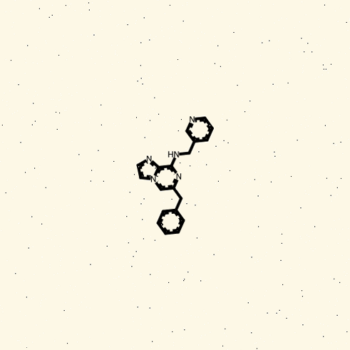 c1ccc(Cc2cn3ccnc3c(NCc3cccnc3)n2)cc1